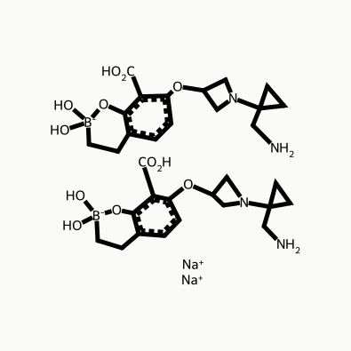 NCC1(N2CC(Oc3ccc4c(c3C(=O)O)O[B-](O)(O)CC4)C2)CC1.NCC1(N2CC(Oc3ccc4c(c3C(=O)O)O[B-](O)(O)CC4)C2)CC1.[Na+].[Na+]